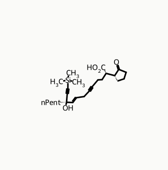 CCCCC[C@](O)(C#C[Si](C)(C)C)/C=C/CC#CCC[C@H](C(=O)O)[C@H]1CCCC1=O